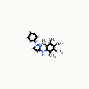 CC(=O)Oc1c(C)c(C)c(Nc2ccn(-c3ccccc3)n2)c(C)c1C